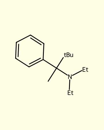 CCN(CC)C(C)(c1ccccc1)C(C)(C)C